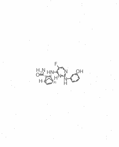 NC(=O)[C@@H]1[C@H](Nc2nc(Nc3cccc(O)c3)ncc2F)[C@H]2C=C[C@@H]1C2